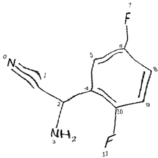 N#CC(N)c1cc(F)ccc1F